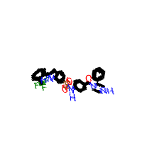 O=C(C1CCC(NS(=O)(=O)c2ccc3cc(-c4ccccc4C(F)(F)F)[nH]c3c2)CC1)N1CCNC[C@@H]1c1ccccc1